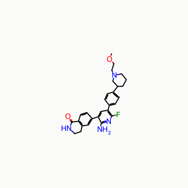 COCCN1CCCC(c2ccc(-c3cc(-c4ccc5c(c4)CCNC5=O)c(N)nc3F)cc2)C1